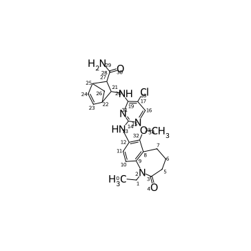 CCN1C(=O)CCCc2c1ccc(Nc1ncc(Cl)c(NC3C4C=CC(C4)C3C(N)=O)n1)c2OC